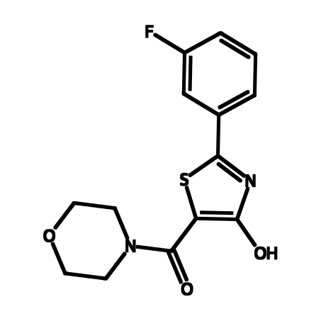 O=C(c1sc(-c2cccc(F)c2)nc1O)N1CCOCC1